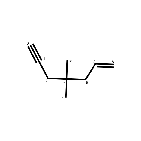 C#CCC(C)(C)CC=C